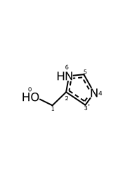 OCc1[c]nc[nH]1